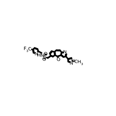 Cn1cc(-c2cnc3ccc4ccc(CS(=O)(=O)NCc5ccc(C(F)(F)F)cn5)cc4c(=O)c3c2)cn1